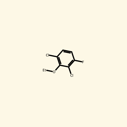 CCOc1c(Cl)ccc(F)c1Cl